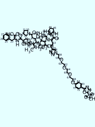 CCC(C)C(C(CC(=O)N1CCC[C@H]1C(OC)C(C)C(=O)NC(Cc1ccccc1)C(=O)O)OC)N(C)C(=O)C(NC(=O)[C@@H]1[C@H]2CC[C@H](C2)N1C(=O)CCCc1cn(CCOCCOCCOCCOc2ccc(-c3nnc(S(C)(=O)=O)o3)cc2)nn1)C(C)C